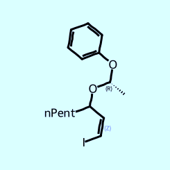 CCCCCC(/C=C\I)O[C@@H](C)Oc1ccccc1